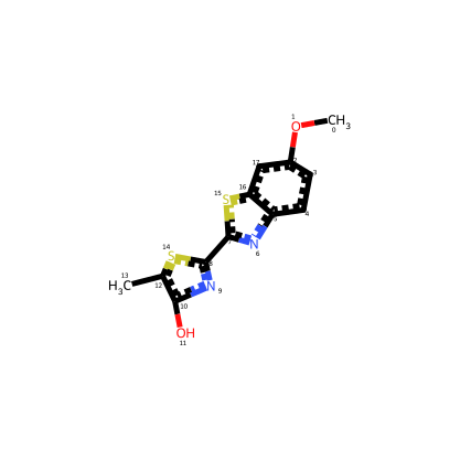 COc1ccc2nc(-c3nc(O)c(C)s3)sc2c1